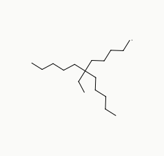 [CH2]CCCCC(CC)(CCCCC)CCCCC